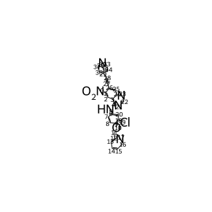 O=[N+]([O-])c1cc2c(Nc3ccc(OCc4ccccn4)c(Cl)c3)ncnc2cc1C#CC12CCN(CC1)CC2